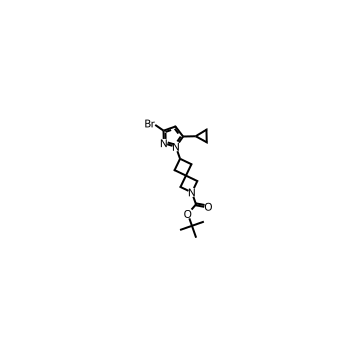 CC(C)(C)OC(=O)N1CC2(CC(n3nc(Br)cc3C3CC3)C2)C1